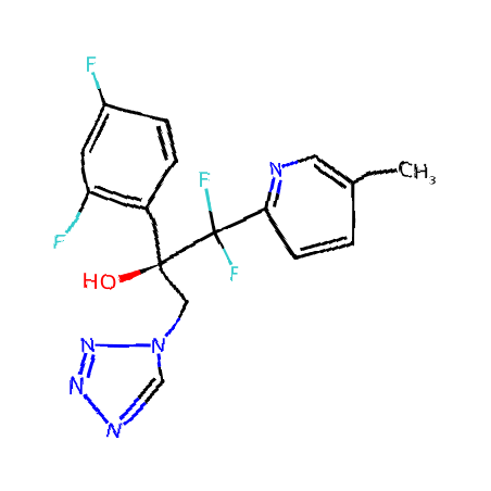 Cc1ccc(C(F)(F)[C@](O)(Cn2cnnn2)c2ccc(F)cc2F)nc1